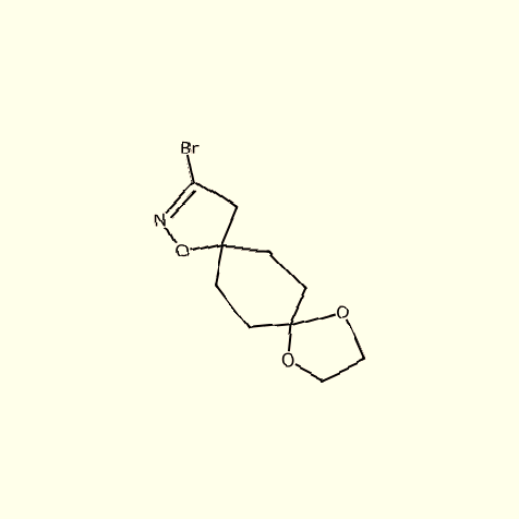 BrC1=NOC2(CCC3(CC2)OCCO3)C1